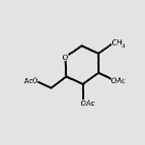 CC(=O)OCC1OCC(C)C(OC(C)=O)C1OC(C)=O